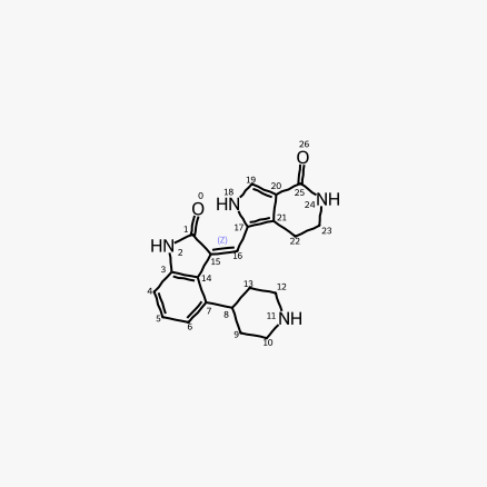 O=C1Nc2cccc(C3CCNCC3)c2/C1=C/c1[nH]cc2c1CCNC2=O